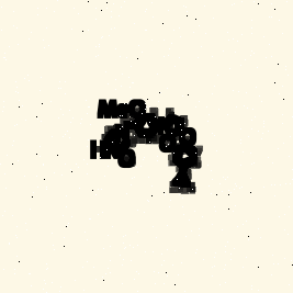 COc1cc(N2CC=C(Oc3ccc(C4CC4)cc3)C2=O)ccc1CN1CCNC(=O)C1